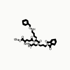 CC(C)(C)OC(=O)C(N)CCC(=O)N[C@@H](CCCCNOCc1ccccc1)C(=O)N(CCCN)CCCN1C(=O)c2ccccc2C1=O